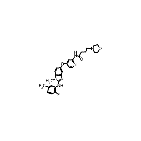 Cn1c(Nc2cc(C(F)(F)F)ccc2F)nc2cc(Oc3ccnc(NC(=O)CCCN4CCOCC4)c3)ccc21